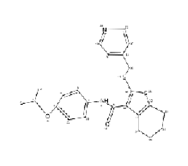 CC(C)Oc1ccc(NC(=O)c2c(SCc3ccncc3)sc3c2CCCC3)cc1